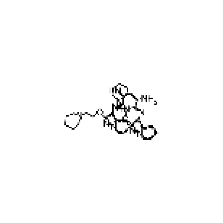 N=C1C=C(N)/C(=N/c2c(OCCN3CCCCC3)nn3ccccc23)N/C1=N\c1c(OCCN2CCCCC2)nn2ccccc12